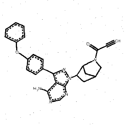 C#CC(=O)N1CC2CC1C(n1nc(-c3ccc(Oc4ccccc4)cc3)c3c(N)ncnc31)C2